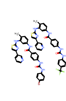 Cc1ccc(NC(=O)c2ccc(NC(=O)Nc3ccc(Br)cc3)cc2)cc1Nc1nc(-c2cccnc2)cs1.Cc1ccc(NC(=O)c2ccc(NC(=O)Nc3ccc(C(F)(F)F)cc3)cc2)cc1Nc1nc(-c2cccnc2)cs1